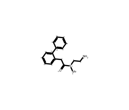 CCCN(CCN)C(=O)Cc1ccccc1-c1ccccc1